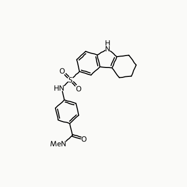 CNC(=O)c1ccc(NS(=O)(=O)c2ccc3[nH]c4c(c3c2)CCCC4)cc1